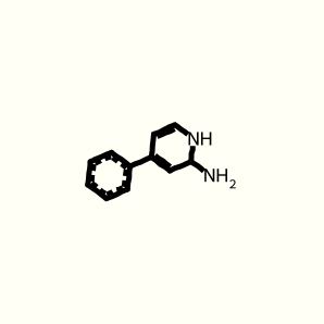 NC1C=C(c2ccccc2)C=CN1